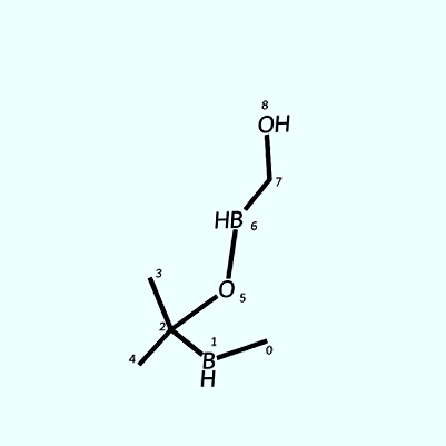 CBC(C)(C)OBCO